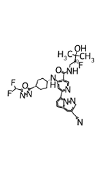 CC(C)(O)[C@H](F)CNC(=O)c1cnc(-c2ccc3cc(C#N)cnn23)cc1N[C@H]1CC[C@H](c2nnc(C(F)F)o2)CC1